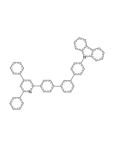 c1ccc(-c2cc(-c3ccccc3)nc(-c3ccc(-c4cccc(-c5ccc(-n6c7ccccc7c7ccccc76)cc5)c4)cc3)c2)cc1